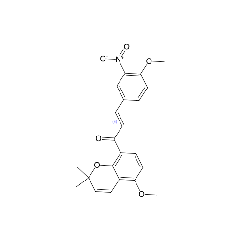 COc1ccc(/C=C/C(=O)c2ccc(OC)c3c2OC(C)(C)C=C3)cc1[N+](=O)[O-]